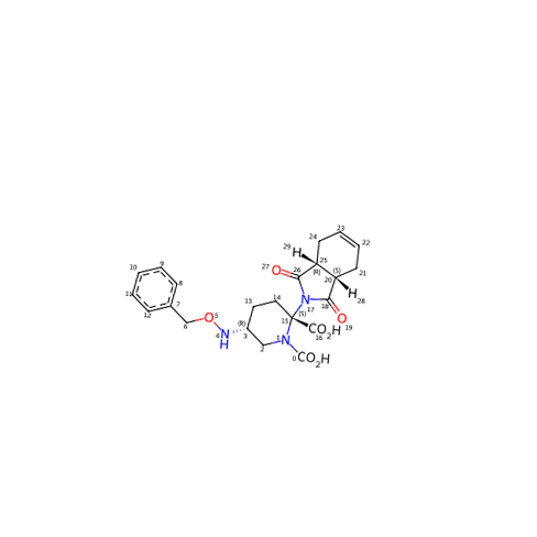 O=C(O)N1C[C@H](NOCc2ccccc2)CC[C@]1(C(=O)O)N1C(=O)[C@H]2CC=CC[C@H]2C1=O